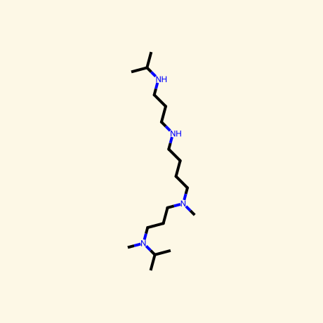 CC(C)NCCCNCCCCN(C)CCCN(C)C(C)C